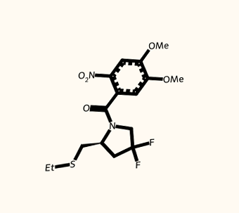 CCSC[C@@H]1CC(F)(F)CN1C(=O)c1cc(OC)c(OC)cc1[N+](=O)[O-]